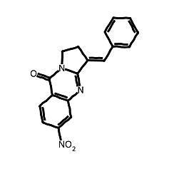 O=c1c2ccc([N+](=O)[O-])cc2nc2n1CC/C2=C\c1ccccc1